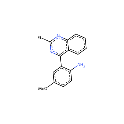 CCc1nc(-c2cc(OC)ccc2N)c2ccccc2n1